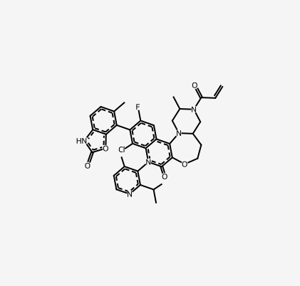 C=CC(=O)N1CC2CCOc3c(c4cc(F)c(-c5c(C)ccc6[nH]c(=O)oc56)c(Cl)c4n(-c4c(C)ccnc4C(C)C)c3=O)N2CC1C